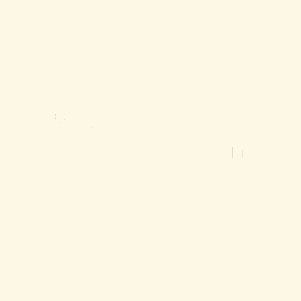 CC(C)c1ccc2c(c1)CC(=O)C2